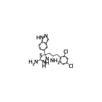 NC1NNC(C[C@@H](N)Cc2ccc(Cl)cc2Cl)(c2ccc3[nH]ncc3c2)S1